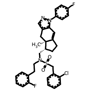 C[C@]12Cc3cnn(-c4ccc(F)cc4)c3C=C1CC[C@@H]2CN(CCc1ccccc1F)S(=O)(=O)Cc1ccccc1Cl